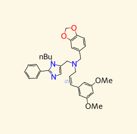 CCCCn1c(CN(C/C=C\c2cc(OC)cc(OC)c2)Cc2ccc3c(c2)OCO3)cnc1-c1ccccc1